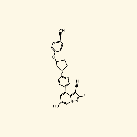 C#Cc1ccc(OC2CCN(c3ccc(-c4cc(O)cn5nc(F)c(C#N)c45)cn3)C2)cc1